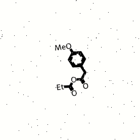 C[CH]C(=O)OC(=O)Cc1ccc(OC)cc1